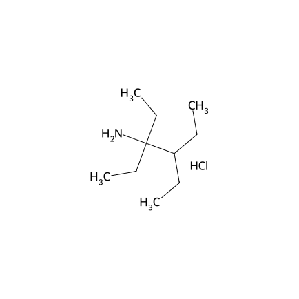 CCC(CC)C(N)(CC)CC.Cl